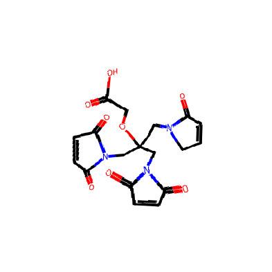 O=C(O)COC(CN1CC=CC1=O)(CN1C(=O)C=CC1=O)CN1C(=O)C=CC1=O